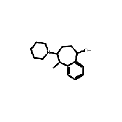 CC1c2ccccc2C(O)CCC1N1CCCCC1